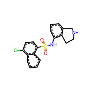 O=S(=O)(Nc1cccc2c1CCNC2)c1ccc(Cl)c2ccccc12